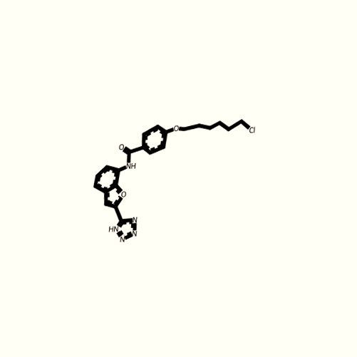 O=C(Nc1cccc2cc(-c3nnn[nH]3)oc12)c1ccc(OCCCCCCCl)cc1